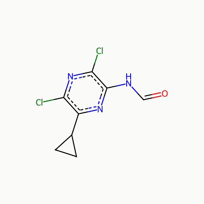 O=CNc1nc(C2CC2)c(Cl)nc1Cl